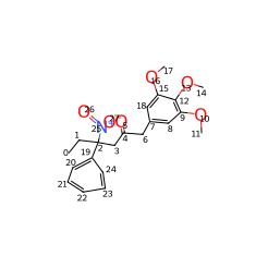 CCC(CC(=O)Cc1cc(OC)c(OC)c(OC)c1)(c1ccccc1)[N+](=O)[O-]